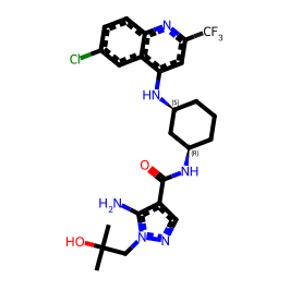 CC(C)(O)Cn1ncc(C(=O)N[C@@H]2CCC[C@H](Nc3cc(C(F)(F)F)nc4ccc(Cl)cc34)C2)c1N